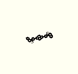 c1ccc2c(c1)ccc1sc3cc(-c4cc5ccc6cc(-c7ccc8c(c7)sc7ccc9ccccc9c78)cc7ccc(c4)c5c67)ccc3c12